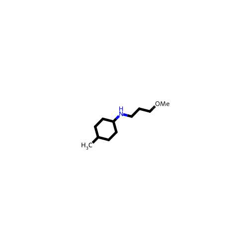 COCCCNC1CCC(C)CC1